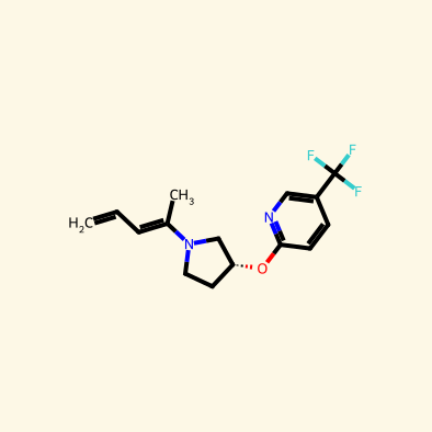 C=C/C=C(\C)N1CC[C@@H](Oc2ccc(C(F)(F)F)cn2)C1